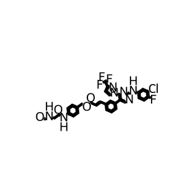 O=CNCC(=O)Nc1ccc(COC(=O)/C=C/c2cccc(-c3cnc(Nc4ccc(F)c(Cl)c4)nc3-n3ccc(C(F)(F)F)n3)c2)cc1